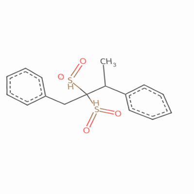 CC(c1ccccc1)C(Cc1ccccc1)([SH](=O)=O)[SH](=O)=O